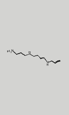 C=CCNCCCCNCCCN